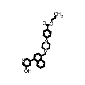 C=CCOC(=O)c1ccc(N2CCN(Cc3ccc(-c4cncc(O)c4)c4ccccc34)CC2)cc1